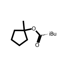 CC[C@@H](C)C(=O)OC1(C)CCCC1